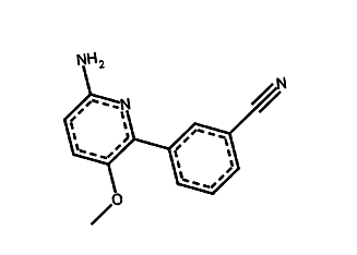 COc1ccc(N)nc1-c1cccc(C#N)c1